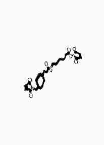 O=C(CCC1CCC(CN2C(=O)C=CC2=O)CC1)OCCCCCC(=O)ON1C(=O)CCC1=O